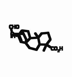 CC(C)C1=CC23CCC4C(C)(C(=O)O)CCCC4(C)C2CC1C(OC=O)C3